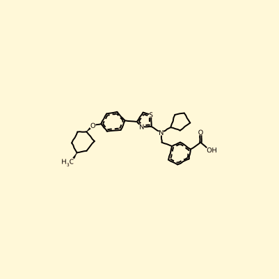 C[C@H]1CC[C@@H](Oc2ccc(-c3csc(N(Cc4cccc(C(=O)O)c4)C4CCCC4)n3)cc2)CC1